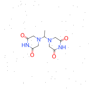 CC(N1CC(=O)NC(=O)C1)N1CC(=O)NC(=O)C1